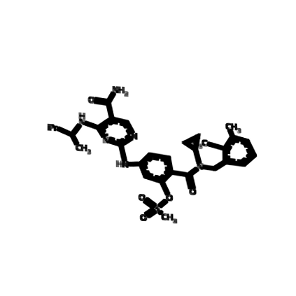 Cc1cccc(CN(C(=O)c2ccc(Nc3ncc(C(N)=O)c(NC(C)C(C)C)n3)cc2OS(C)(=O)=O)C2CC2)c1C